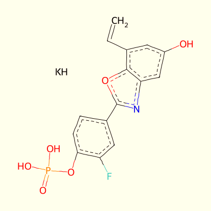 C=Cc1cc(O)cc2nc(-c3ccc(OP(=O)(O)O)c(F)c3)oc12.[KH]